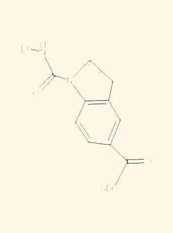 CCCCC(=O)c1ccc2c(c1)CCN2C(=O)NCC